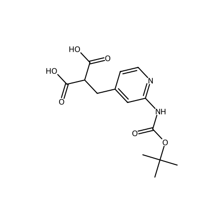 CC(C)(C)OC(=O)Nc1cc(CC(C(=O)O)C(=O)O)ccn1